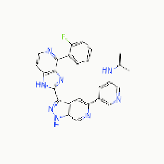 CC(C)Nc1cncc(-c2cc3c(-c4nc5c(-c6ccccc6F)nccc5[nH]4)n[nH]c3cn2)c1